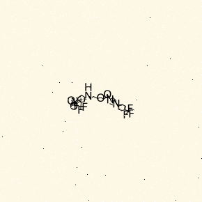 O=C(COCCCNc1ccc([N+](=O)[O-])c(C(F)(F)F)c1)N1CCN(c2ccc(C(F)(F)F)cc2)CC1